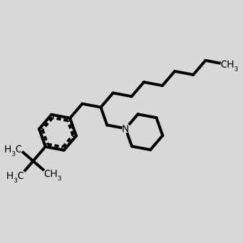 CCCCCCCCC(Cc1ccc(C(C)(C)C)cc1)CN1CCCCC1